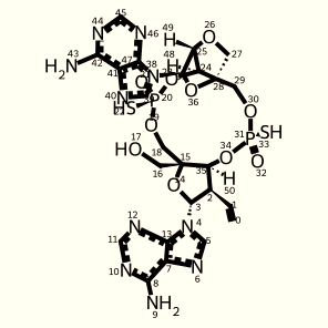 C=C[C@H]1[C@H](n2cnc3c(N)ncnc32)O[C@]2(CO)CO[P@@](=O)(S)O[C@H]3[C@H]4OC[C@]3(CO[P@@](=O)(S)O[C@@H]12)O[C@H]4n1cnc2c(N)ncnc21